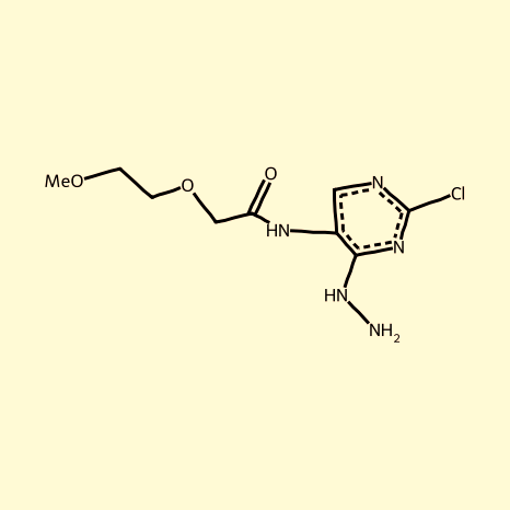 COCCOCC(=O)Nc1cnc(Cl)nc1NN